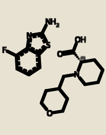 Nc1nc2c(F)cccc2s1.O=C(O)[C@@H]1CCCCN1CC1CCOCC1